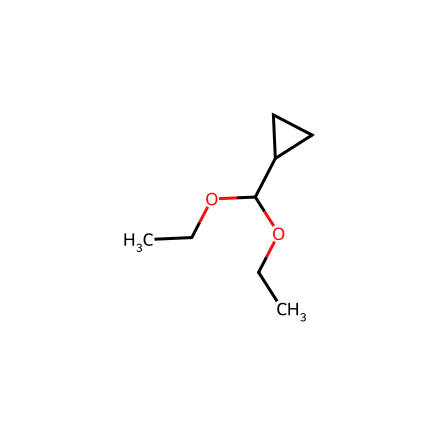 CCOC(OCC)C1CC1